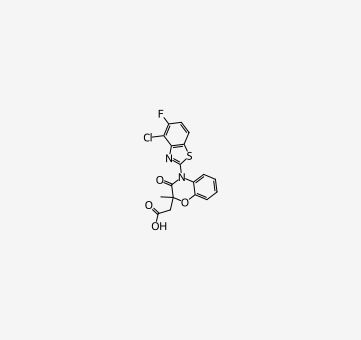 CC1(CC(=O)O)Oc2ccccc2N(c2nc3c(Cl)c(F)ccc3s2)C1=O